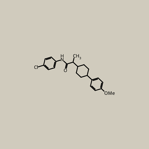 COc1ccc(C2CCC(C(C)C(=O)Nc3ccc(Cl)cc3)CC2)cc1